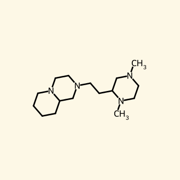 CN1CCN(C)C(CCN2CCN3CCCCC3C2)C1